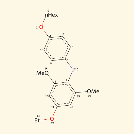 CCCCCCOc1ccc([I+]c2c(OC)cc(OCC)cc2OC)cc1